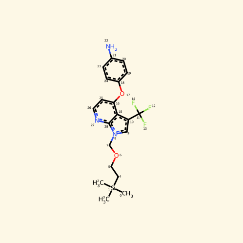 C[Si](C)(C)CCOCn1cc(C(F)(F)F)c2c(Oc3ccc(N)cc3)ccnc21